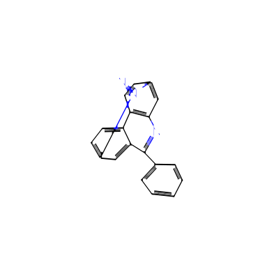 [N-]=[N+]1c2ccc3c(c2)nc(-c2ccccc2)c2cc1ccc23